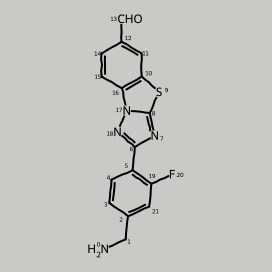 NCc1ccc(-c2nc3sc4cc(C=O)ccc4n3n2)c(F)c1